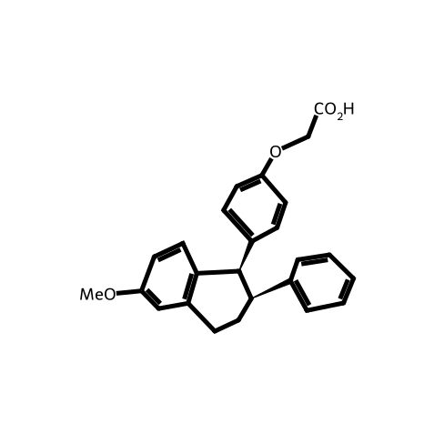 COc1ccc2c(c1)CC[C@H](c1ccccc1)[C@@H]2c1ccc(OCC(=O)O)cc1